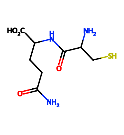 NC(=O)CCC(NC(=O)C(N)CS)C(=O)O